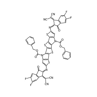 N#CC(C#N)=C1/C(=N/c2cc3c(s2)c2sc4c(sc5c6sc(/N=C7\C(=O)c8cc(F)c(F)cc8C7=C(C#N)C#N)cc6n(C(=O)OCc6ccccc6)c54)c2n3C(=O)OCc2ccccc2)C(=O)c2cc(F)c(F)cc21